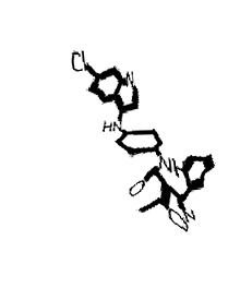 Cc1onc(-c2ccccc2)c1C(=O)NC1CCC(Nc2ccnc3cc(Cl)ccc23)CC1